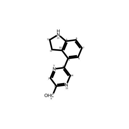 O=Cc1cnc(-c2cccc3c2CCN3)cn1